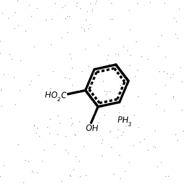 O=C(O)c1ccccc1O.P